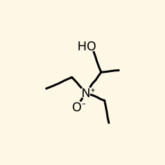 CC[N+]([O-])(CC)C(C)O